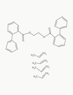 C=CC.C=CC.C=CC.C=CC.O=C(OCCOC(=O)c1ccccc1-c1ccccc1)c1ccccc1-c1ccccc1